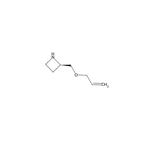 C=CCOC[C@H]1CCN1